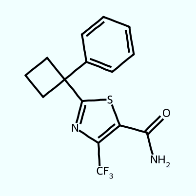 NC(=O)c1sc(C2(c3ccccc3)CCC2)nc1C(F)(F)F